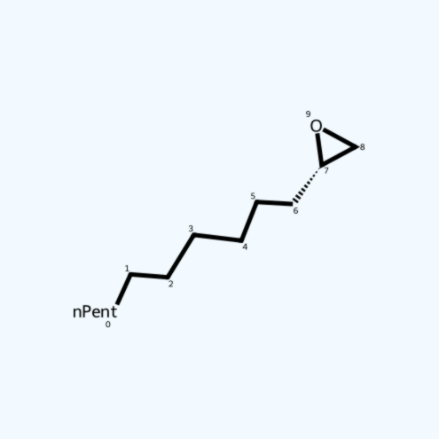 CCCCCCCCCCC[C@H]1CO1